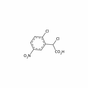 O=C(O)C(Cl)c1cc([N+](=O)[O-])ccc1Cl